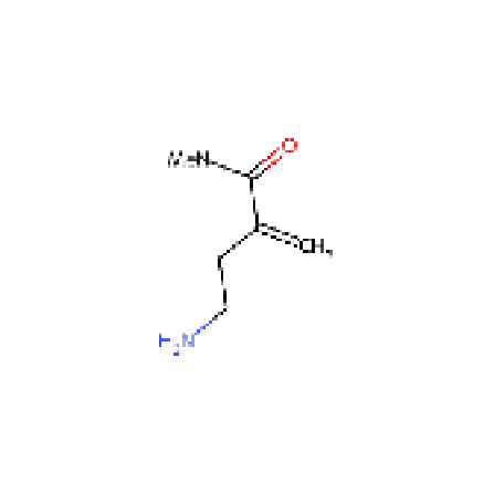 C=C(CCN)C(=O)NC